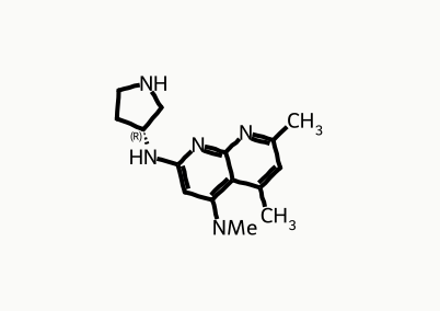 CNc1cc(N[C@@H]2CCNC2)nc2nc(C)cc(C)c12